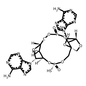 Nc1ncnc2c1ncn2[C@@H]1O[C@@H]2CO[P@](=O)(S)O[C@H]3[C@H]4OC[C@]3(CO[P@](=O)(S)O[C@@H]1[C@@H]2O)O[C@H]4n1cnc2c(N)ncnc21